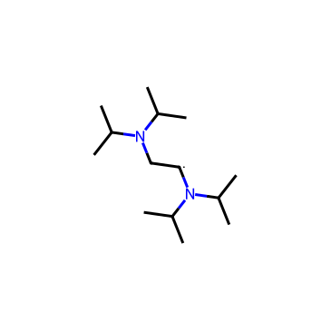 CC(C)N([CH]CN(C(C)C)C(C)C)C(C)C